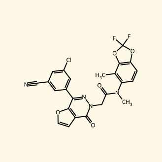 Cc1c(N(C)C(=O)Cn2nc(-c3cc(Cl)cc(C#N)c3)c3occc3c2=O)ccc2c1OC(F)(F)O2